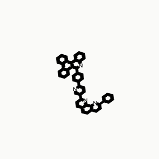 c1ccc(-c2ccc3ccc4ccc(-c5ccc(-c6ccc(-c7nc8ccccc8c8c9ccccc9c9ccccc9c78)cc6)nc5)nc4c3n2)cc1